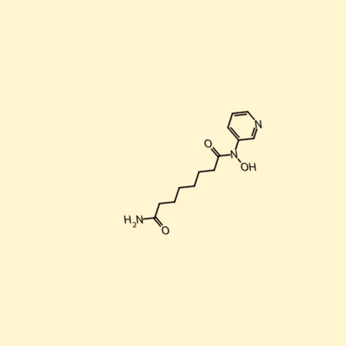 NC(=O)CCCCCCC(=O)N(O)c1cccnc1